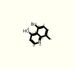 Cc1ccc(Br)c2c(O)ccnc12